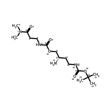 CN(C)C(=O)CCNC(=O)OC[C@@H](N)CCNC(=O)OC(C)(C)C